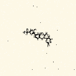 Cn1cc(C(F)(F)F)nc1-c1ccc(CN2c3nc(Cl)ncc3OCC2O)cc1